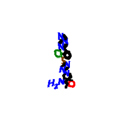 C[C@@H]1OCC2(CCN(c3cnc(Sc4cccc(-c5cn6ccnc6cn5)c4Cl)cn3)CC2)C1N